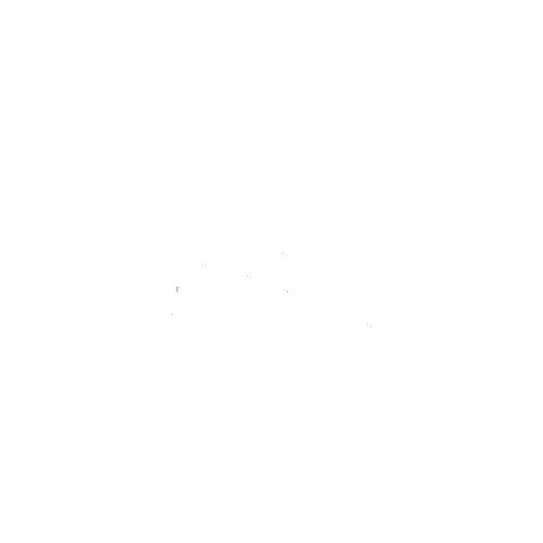 Cc1cc(Nc2nc(N(C)Cc3cccnc3)nc3ccccc23)[nH]n1